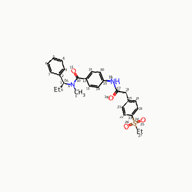 CC[C@@H](c1ccccc1)N(C)C(=O)c1ccc(NC(=O)Cc2ccc(S(=O)(=O)CC)cc2)cc1